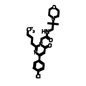 CC(C)(CNC(=O)Cn1c(CCCC(F)(F)F)nc(-c2ccc(Cl)cc2)cc1=O)N1CCOCC1